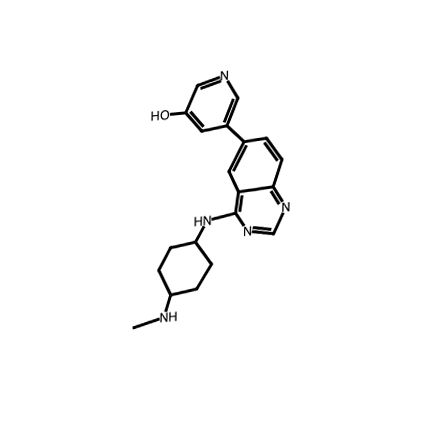 CNC1CCC(Nc2ncnc3ccc(-c4cncc(O)c4)cc23)CC1